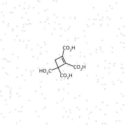 O=C(O)C1=C(C(=O)O)C(C(=O)O)(C(=O)O)C1